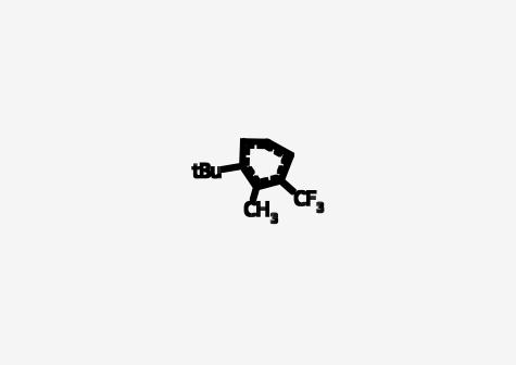 Cc1c(C(C)(C)C)cccc1C(F)(F)F